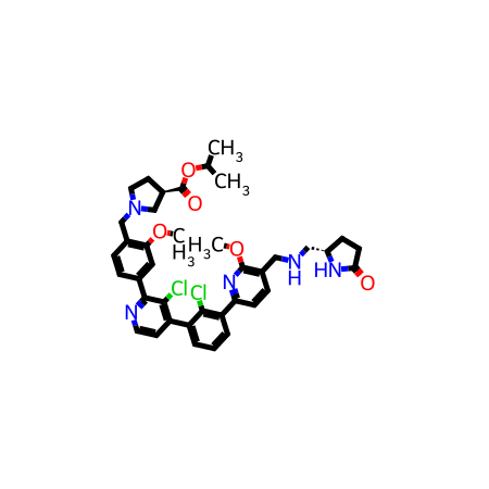 COc1cc(-c2nccc(-c3cccc(-c4ccc(CNC[C@@H]5CCC(=O)N5)c(OC)n4)c3Cl)c2Cl)ccc1CN1CC[C@@H](C(=O)OC(C)C)C1